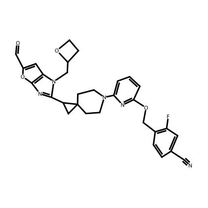 N#Cc1ccc(COc2cccc(N3CCC4(CC3)CC4c3nc4oc(C=O)cc4n3CC3CCO3)n2)c(F)c1